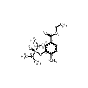 CCOC(=O)c1ccc(C)c(OP(=O)(N(C)C)N(C)C)c1